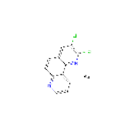 Clc1cc2ccc3ncccc3c2nc1Cl.[Au]